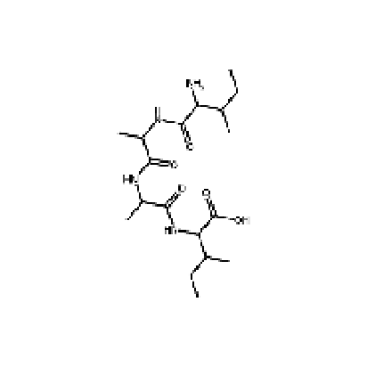 CCC(C)C(N)C(=O)NC(C)C(=O)NC(C)C(=O)NC(C(=O)O)C(C)CC